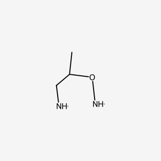 CC(C[NH])O[NH]